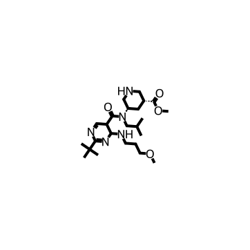 COCCCNC1N=C(C(C)(C)C)N=CC1C(=O)N(CC(C)C)[C@@H]1CNC[C@H](C(=O)OC)C1